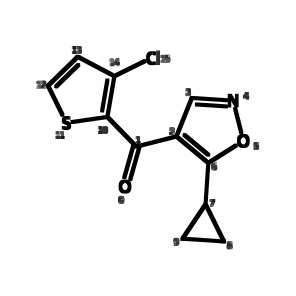 O=C(c1cnoc1C1CC1)c1sccc1Cl